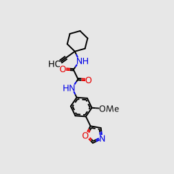 C#CC1(NC(=O)C(=O)Nc2ccc(-c3cnco3)c(OC)c2)CCCCC1